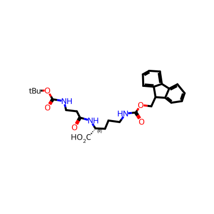 CC(C)(C)OC(=O)NCCC(=O)N[C@H](CCCNC(=O)OCC1c2ccccc2-c2ccccc21)C(=O)O